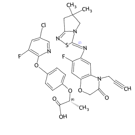 C#CCN1C(=O)COc2cc(F)c(/N=c3\snc4n3CC(C)(C)C4)cc21.C[C@@H](Oc1ccc(Oc2ncc(Cl)cc2F)cc1)C(=O)O